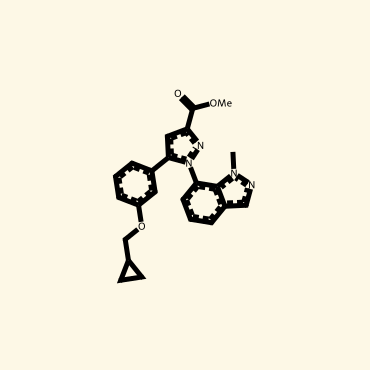 COC(=O)c1cc(-c2cccc(OCC3CC3)c2)n(-c2cccc3cnn(C)c23)n1